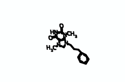 CN1CN(CCCc2ccccc2)c2c1c(=O)[nH]c(=O)n2C